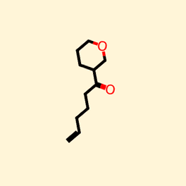 C=CCCCC(=O)C1CCCOC1